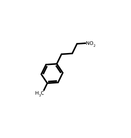 Cc1ccc(CCC[N+](=O)[O-])cc1